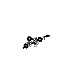 CC#CCOc1ccc(S(=O)(=O)N2Cc3ccccc3N(S(=O)(=O)c3ccc(C)cc3)CC2C(=O)OC)cc1